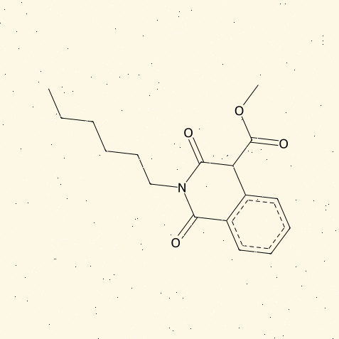 CCCCCCN1C(=O)c2ccccc2C(C(=O)OC)C1=O